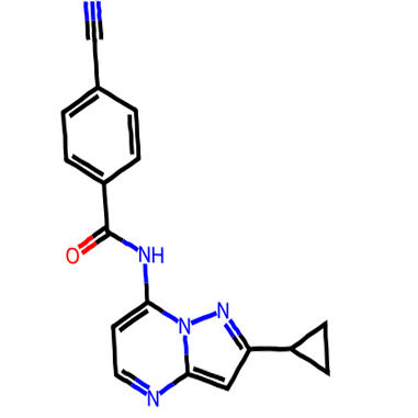 N#Cc1ccc(C(=O)Nc2ccnc3cc(C4CC4)nn23)cc1